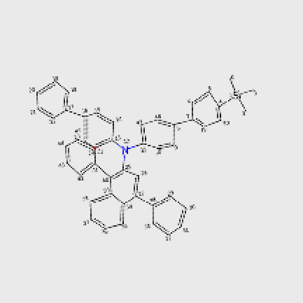 C[Si](C)(C)c1ccc(-c2ccc(N(c3ccc(-c4ccccc4)cc3)c3cc(-c4ccccc4)c4ccccc4c3-c3ccccc3)cc2)cc1